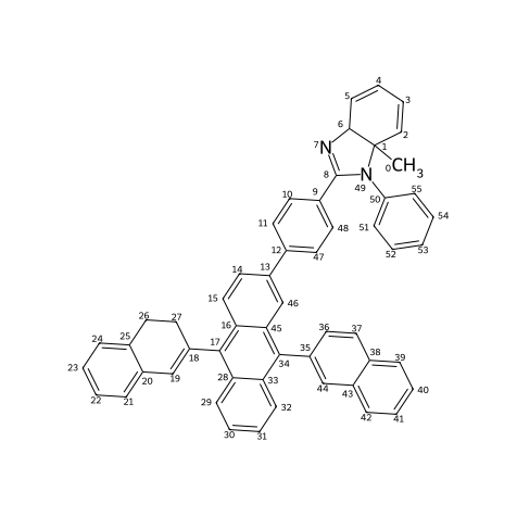 CC12C=CC=CC1N=C(c1ccc(-c3ccc4c(C5=Cc6ccccc6CC5)c5ccccc5c(-c5ccc6ccccc6c5)c4c3)cc1)N2c1ccccc1